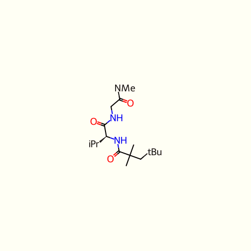 CNC(=O)CNC(=O)[C@@H](NC(=O)C(C)(C)CC(C)(C)C)C(C)C